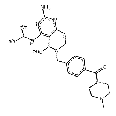 CCCC(CCC)Nc1nc(N)nc2c1C(C=O)N(Cc1ccc(C(=O)N3CCN(C)CC3)cc1)C=C2